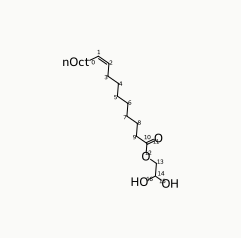 CCCCCCCC/C=C\CCCCCCCC(=O)OCC(O)O